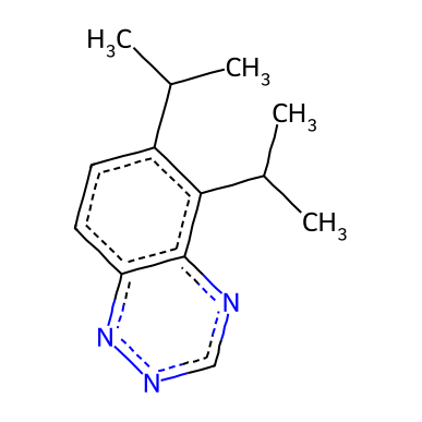 CC(C)c1ccc2nncnc2c1C(C)C